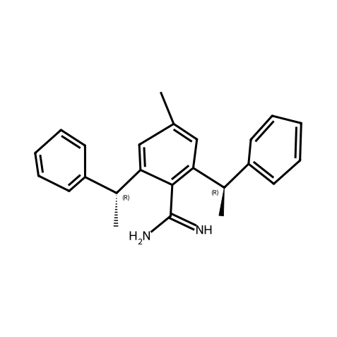 Cc1cc([C@H](C)c2ccccc2)c(C(=N)N)c([C@H](C)c2ccccc2)c1